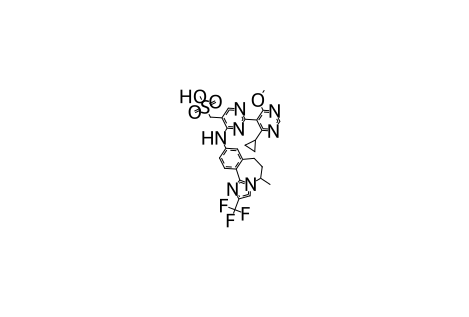 COc1ncnc(C2CC2)c1-c1ncc(CS(=O)(=O)O)c(Nc2ccc3c(c2)CCC(C)n2cc(C(F)(F)F)nc2-3)n1